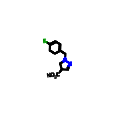 O=C(O)C1C=NN(CC2=CC=C(F)CC2)C1